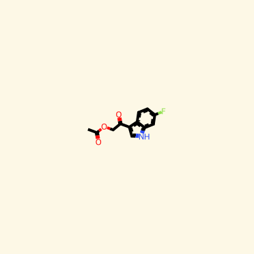 CC(=O)OCC(=O)c1c[nH]c2cc(F)ccc12